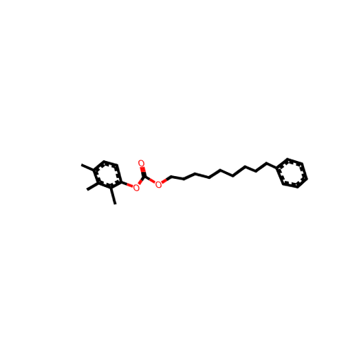 Cc1ccc(OC(=O)OCCCCCCCCCc2ccccc2)c(C)c1C